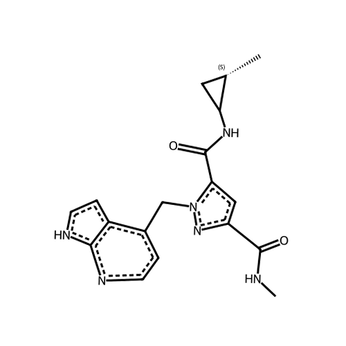 CNC(=O)c1cc(C(=O)NC2C[C@@H]2C)n(Cc2ccnc3[nH]ccc23)n1